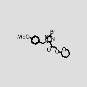 COc1ccc(Cn2nc(Br)nc2C(=O)COC2CCCCO2)cc1